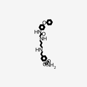 NS(=O)(=O)c1ccc(CCNCCCCNCC(=O)Nc2ccc(Oc3ccccc3)cc2)cc1